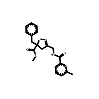 COC(=O)C1(Cc2ccccc2)CC(CNC(=O)c2cccc(C)n2)=NO1